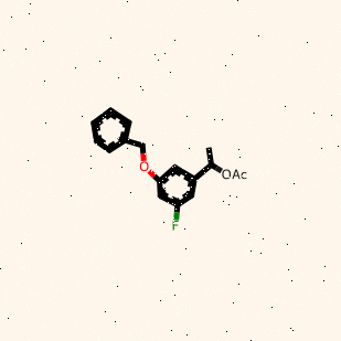 CC(=O)OC(C)c1cc(F)cc(OCc2ccccc2)c1